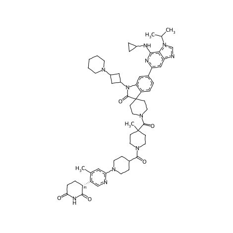 Cc1cc(N2CCC(C(=O)N3CCC(C)(C(=O)N4CCC5(CC4)C(=O)N(C4CC(N6CCCCC6)C4)c4cc(-c6cc7ncn(C(C)C)c7c(NC7CC7)n6)ccc45)CC3)CC2)ncc1[C@H]1CCC(=O)NC1=O